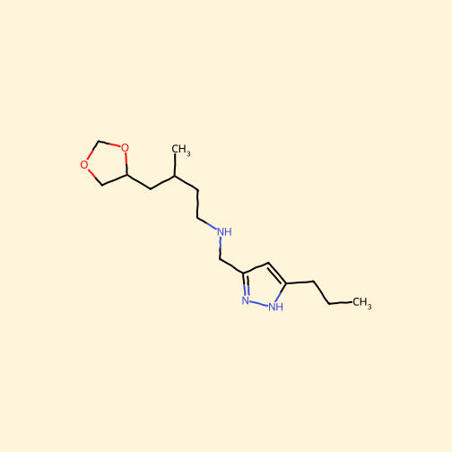 CCCc1cc(CNCCC(C)CC2COCO2)n[nH]1